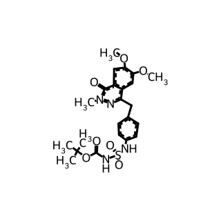 COc1cc2c(Cc3ccc(NS(=O)(=O)NC(=O)OC(C)(C)C)cc3)nn(C)c(=O)c2cc1OC